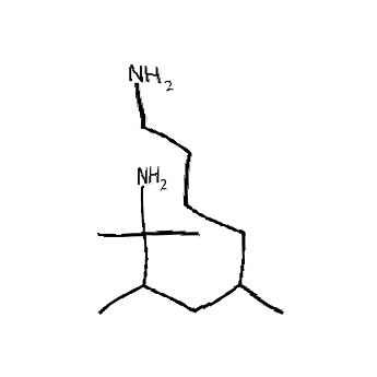 CC(CCCCN)CC(C)C(C)(C)N